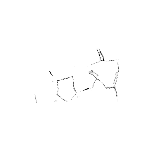 O=c1nc(N[C@H]2O[C@H](CO)[C@@H](O)[C@@H]2F)c(I)c[nH]1